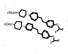 CCCCCCCCCC[C@H]1CC[C@H](c2ccc(CCc3ccc(SC(F)F)cc3)cc2)CC1.CCCCCCCCC[C@H]1CC[C@H](c2ccc(CCc3ccc(SC(F)F)cc3)cc2)CC1